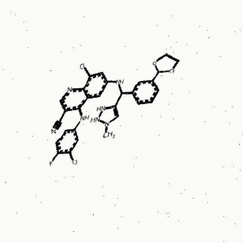 CN1C=C(C(Nc2cc(Cl)c3ncc(C#N)c(Nc4ccc(F)c(Cl)c4)c3c2)c2cccc(C3OCCO3)c2)NN1